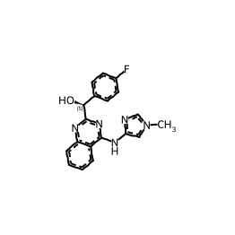 Cn1cnc(Nc2nc([C@@H](O)c3ccc(F)cc3)nc3ccccc23)c1